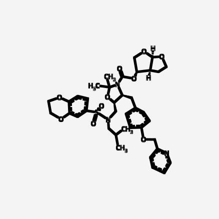 CC(C)CN(C[C@H]1OC(C)(C)N(C(=O)O[C@H]2CO[C@H]3OCC[C@H]32)[C@H]1Cc1ccc(OCc2ccccn2)cc1)S(=O)(=O)c1ccc2c(c1)OCCO2